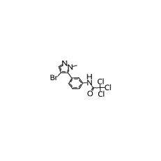 Cn1ncc(Br)c1-c1cccc(NC(=O)C(Cl)(Cl)Cl)c1